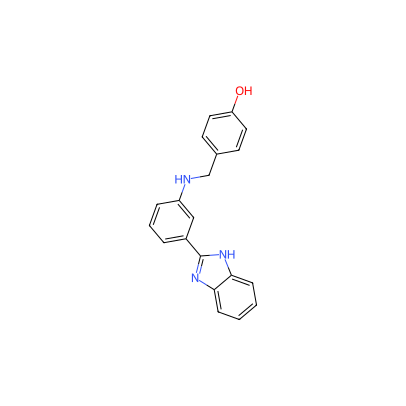 Oc1ccc(CNc2cccc(-c3nc4ccccc4[nH]3)c2)cc1